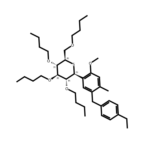 CCCCOC[C@H]1S[C@@H](c2cc(Cc3ccc(CC)cc3)c(C)cc2OC)[C@H](OCCCC)[C@@H](OCCCC)[C@@H]1OCCCC